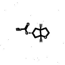 CC(C)(C)C(=O)O[C@@H]1C[C@@H]2CCO[C@@H]2C1